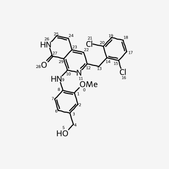 COc1cc(CO)ccc1Nc1nc(Cc2c(Cl)cccc2Cl)cc2cc[nH]c(=O)c12